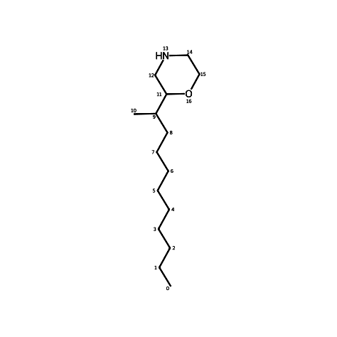 CCCCCCCCCC(C)C1CNCCO1